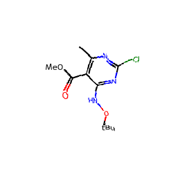 COC(=O)c1c(C)nc(Cl)nc1NOC(C)(C)C